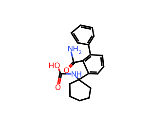 NC(=O)c1c(-c2ccccc2)cccc1C1(NC(=O)O)CCCCC1